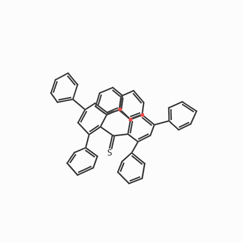 S=C(c1c(-c2ccccc2)cc(-c2ccccc2)cc1-c1ccccc1)c1c(-c2ccccc2)cc(-c2ccccc2)cc1-c1ccccc1